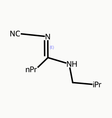 CCC/C(=N\C#N)NCC(C)C